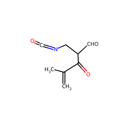 C=C(C)C(=O)C(C=O)CN=C=O